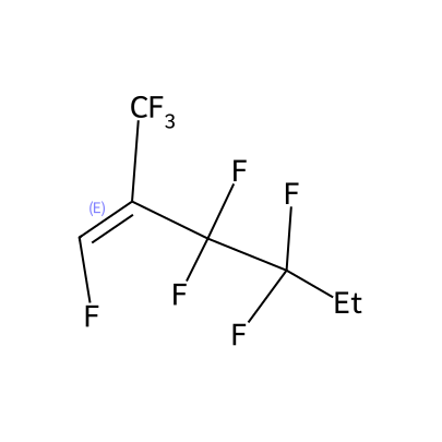 CCC(F)(F)C(F)(F)/C(=C\F)C(F)(F)F